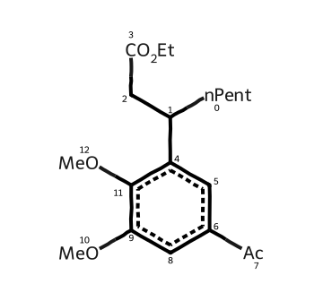 CCCCCC(CC(=O)OCC)c1cc(C(C)=O)cc(OC)c1OC